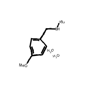 CCCCBCc1ccc(OC)cc1.O.O